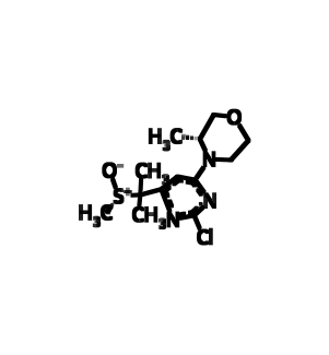 C[C@@H]1COCCN1c1cc(C(C)(C)[S@@+](C)[O-])nc(Cl)n1